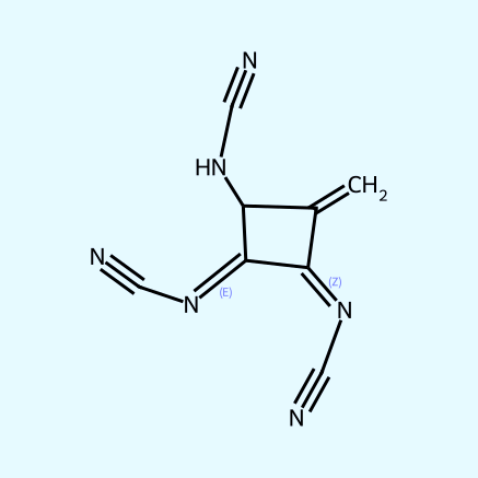 C=C1C(=N/C#N)/C(=N/C#N)C1NC#N